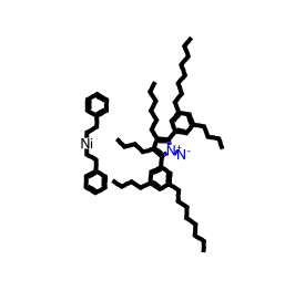 CCCCCCCCc1cc(CCCC)cc(C2=C(CCCC)C(CCCCCC)=C(c3cc(CCCC)cc(CCCCCCCC)c3)[N+]2=[N-])c1.c1ccc(C[CH2][Ni][CH2]Cc2ccccc2)cc1